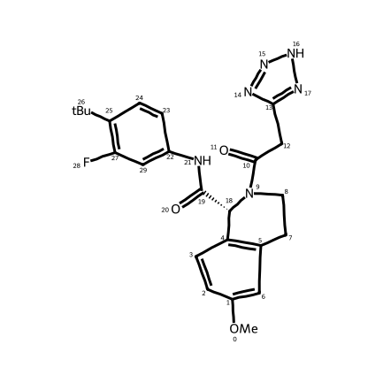 COc1ccc2c(c1)CCN(C(=O)Cc1nn[nH]n1)[C@H]2C(=O)Nc1ccc(C(C)(C)C)c(F)c1